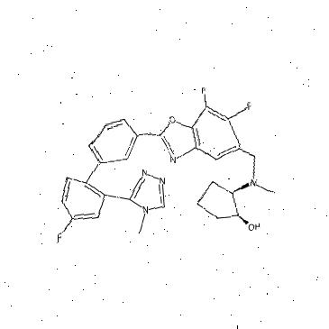 CN(Cc1cc2nc(-c3cccc(-c4ccc(F)cc4-c4nncn4C)c3)oc2c(F)c1F)[C@@H]1CCC[C@@H]1O